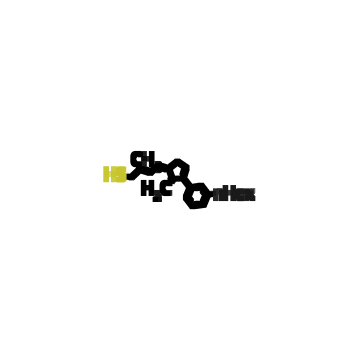 C=C1C(c2cccc(CCCCCC)c2)=CC/C1=C/C=C(\C)CS